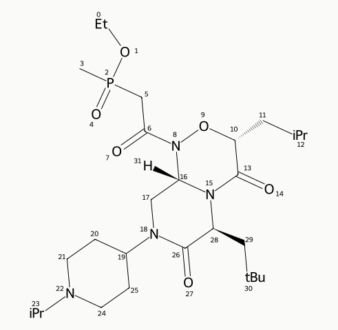 CCOP(C)(=O)CC(=O)N1O[C@H](CC(C)C)C(=O)N2[C@@H]1CN(C1CCN(C(C)C)CC1)C(=O)[C@@H]2CC(C)(C)C